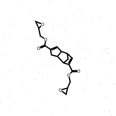 O=C(OCC1CO1)C1=CC2C3C=C(C(=O)OCC4CO4)C(C3)C2C1